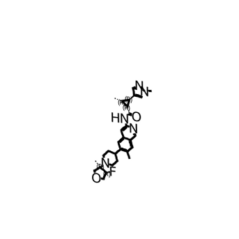 Cc1cc2cnc(NC(=O)[C@@H]3[C@H](C)[C@H]3c3cnn(C)c3)cc2cc1C1CCN([C@]2(C)COC[C@@H]2F)CC1